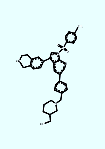 Cc1ccc(S(=O)(=O)n2cc(-c3ccc4c(c3)CCNC4)c3cc(-c4ccc(CN5CCCC(CO)C5)cc4)cnc32)cc1